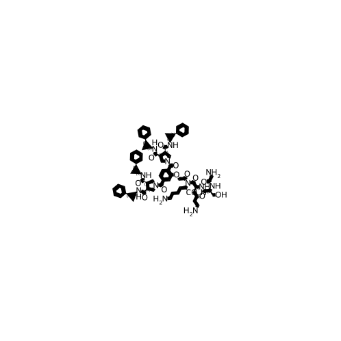 NCCCC[C@H](NC(=O)[C@H](CO)NC(=O)CN)C(=O)N(C(=O)COc1cc(C(=O)N2C[C@@H](C(=O)N[C@H]3C[C@@H]3c3ccccc3)[C@H](C(=O)N[C@H]3C[C@@H]3c3ccccc3)C2)ccc1C(=O)N1C[C@@H](C(=O)N[C@H]2C[C@@H]2c2ccccc2)[C@H](C(=O)N[C@H]2C[C@@H]2c2ccccc2)C1)[C@@H](CCCCN)C(=O)O